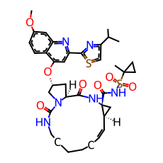 COc1ccc2c(O[C@@H]3C[C@H]4C(=O)N[C@]5(C(=O)NS(=O)(=O)C6(C)CC6)C[C@H]5/C=C\CCCCCNC(=O)N4C3)cc(-c3nc(C(C)C)cs3)nc2c1